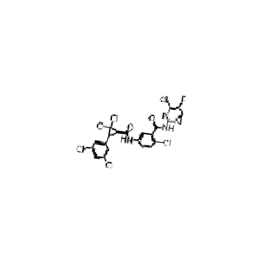 O=C(Nc1ncc(F)c(Cl)n1)c1cc(NC(=O)C2C(c3cc(Cl)cc(Cl)c3)C2(Cl)Cl)ccc1Cl